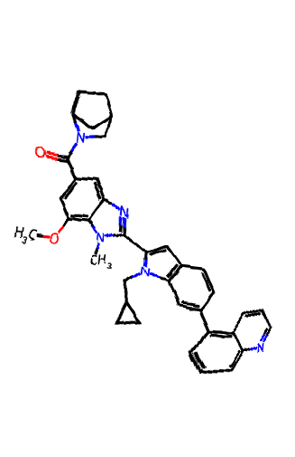 COc1cc(C(=O)N2CC3CCC2C3)cc2nc(-c3cc4ccc(-c5cccc6ncccc56)cc4n3CC3CC3)n(C)c12